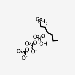 CCCCCCN.O=[N+]([O-])O.O=[N+]([O-])[O-].O=[N+]([O-])[O-].[Co]